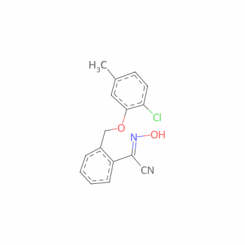 Cc1ccc(Cl)c(OCc2ccccc2C(C#N)=NO)c1